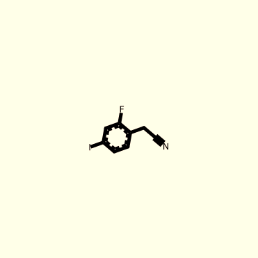 N#CCc1ccc(I)cc1F